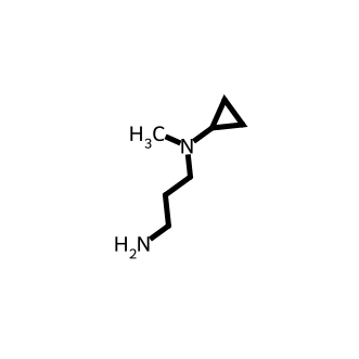 CN(CCCN)C1CC1